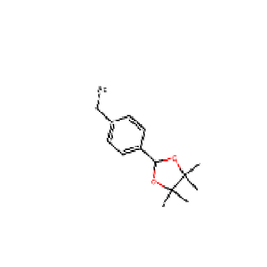 CC(=O)Cc1ccc(C2OC(C)(C)C(C)(C)O2)cc1